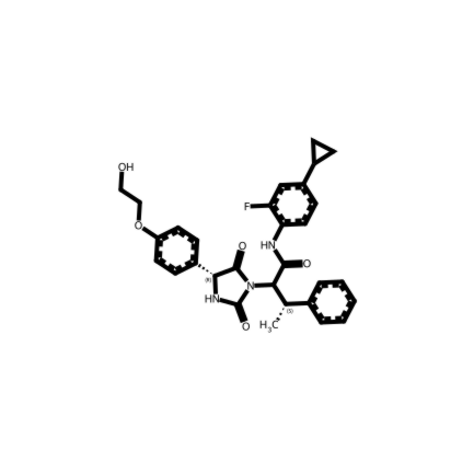 C[C@@H](c1ccccc1)C(C(=O)Nc1ccc(C2CC2)cc1F)N1C(=O)N[C@H](c2ccc(OCCO)cc2)C1=O